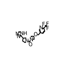 O=C(N1CC(OCc2ccc(C(F)(F)F)nc2)C1)N1CCC(c2nnc[nH]2)C1